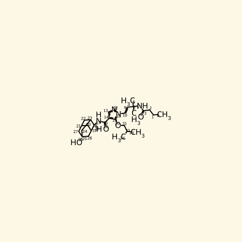 CCCC(=O)NC(C)(C)/C=C/n1ncc(C(=O)N[C@H]2C3CC4CC2C[C@](O)(C4)C3)c1OCC(C)C